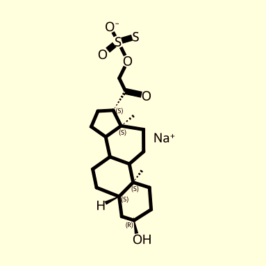 C[C@]12CCC3C(CC[C@H]4C[C@H](O)CC[C@]34C)C1CC[C@@H]2C(=O)COS(=O)([O-])=S.[Na+]